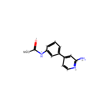 COC(=O)Nc1cccc(-c2ccnc(N)c2)c1